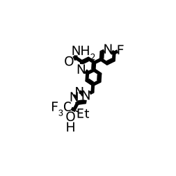 CC[C@@](O)(c1cn(Cc2ccc3c(-c4ccc(F)nc4)cc(C(N)=O)nc3c2)nn1)C(F)(F)F